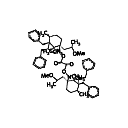 COC(C)C[C@]12CC[C@H](C)[C@@](Cc3ccccc3)([C@H](Cc3ccccc3)CN1OC(=O)C(=O)ON1C[C@@H](Cc3ccccc3)[C@]3(Cc4ccccc4)[C@@H](C)CC[C@]1(CC(C)OC)C3(C)C)C2(C)C